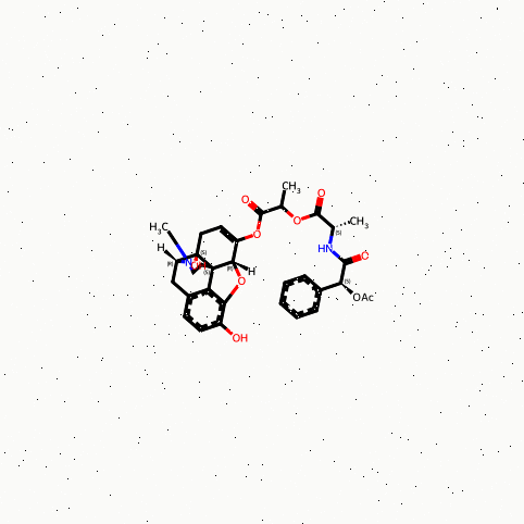 CC(=O)O[C@H](C(=O)N[C@@H](C)C(=O)OC(C)C(=O)OC1=CC[C@@]2(O)[C@H]3Cc4ccc(O)c5c4[C@@]2(CCN3C)[C@H]1O5)c1ccccc1